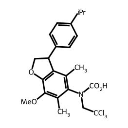 COc1c(C)c(N(CC(Cl)(Cl)Cl)C(=O)O)c(C)c2c1OCC2c1ccc(C(C)C)cc1